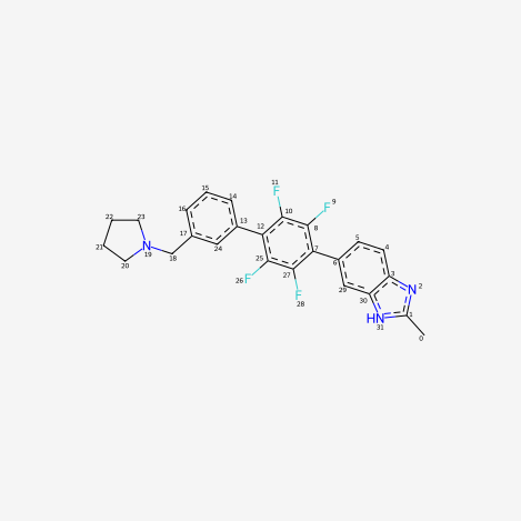 Cc1nc2ccc(-c3c(F)c(F)c(-c4cccc(CN5CCCC5)c4)c(F)c3F)cc2[nH]1